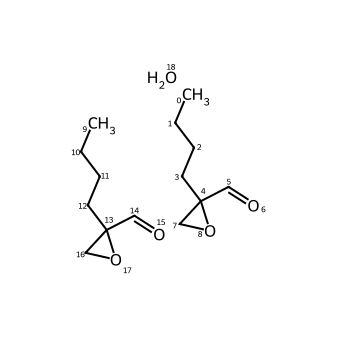 CCCCC1(C=O)CO1.CCCCC1(C=O)CO1.O